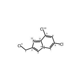 ClCc1cn2cc(Cl)cc(Cl)c2n1